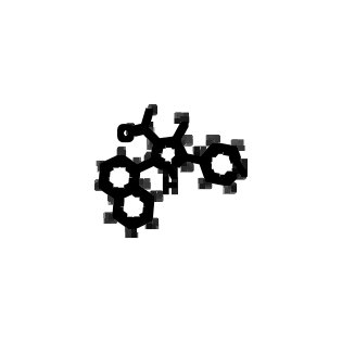 CC(=O)c1c(-c2cccc3ccccc23)[nH]c(-c2ccncc2)c1C